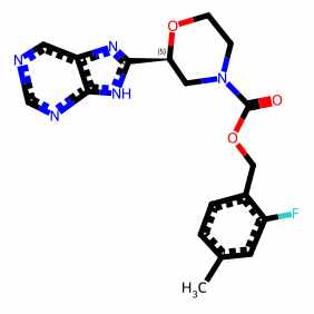 Cc1ccc(COC(=O)N2CCO[C@H](c3nc4cncnc4[nH]3)C2)c(F)c1